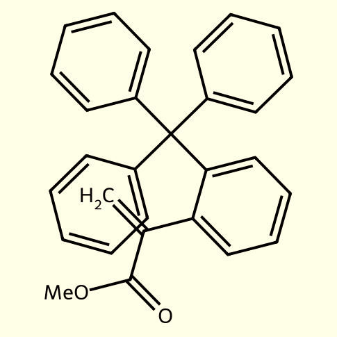 C=C(C(=O)OC)c1ccccc1C(c1ccccc1)(c1ccccc1)c1ccccc1